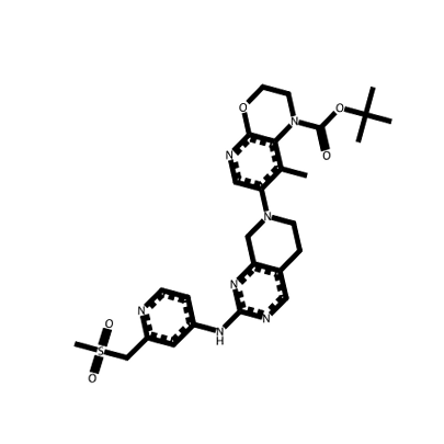 Cc1c(N2CCc3cnc(Nc4ccnc(CS(C)(=O)=O)c4)nc3C2)cnc2c1N(C(=O)OC(C)(C)C)CCO2